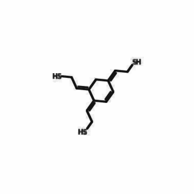 SCC=C1C=CC(=CCS)C(=CCS)C1